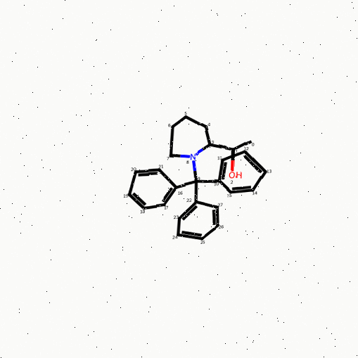 CC(O)C1CCCCN1C(c1ccccc1)(c1ccccc1)c1ccccc1